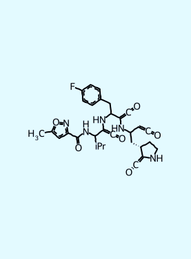 Cc1cc(C(=O)NC(C(=C=O)NC(Cc2ccc(F)cc2)C(=C=O)NC(C=C=O)C[C@@H]2CCNC2=C=O)C(C)C)no1